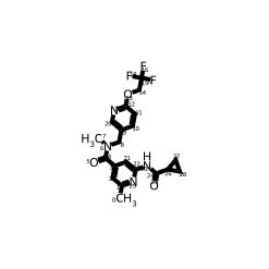 Cc1cc(C(=O)N(C)Cc2ccc(OCC(F)(F)F)nc2)cc(NC(=O)C2CC2)n1